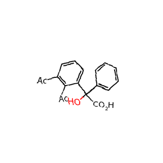 CC(=O)c1cccc(C(O)(C(=O)O)c2ccccc2)c1C(C)=O